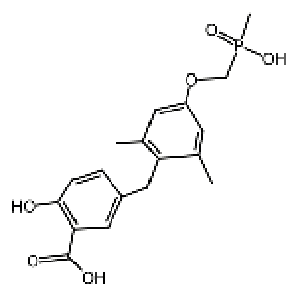 Cc1cc(OCP(C)(=O)O)cc(C)c1Cc1ccc(O)c(C(=O)O)c1